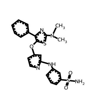 CN(C)c1nc(-c2ccccc2)c(Oc2ccnc(Nc3cccc(S(N)(=O)=O)c3)c2)s1